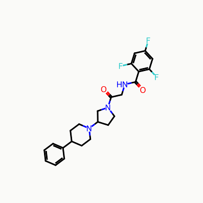 O=C(NCC(=O)N1CCC(N2CCC(c3ccccc3)CC2)C1)c1c(F)cc(F)cc1F